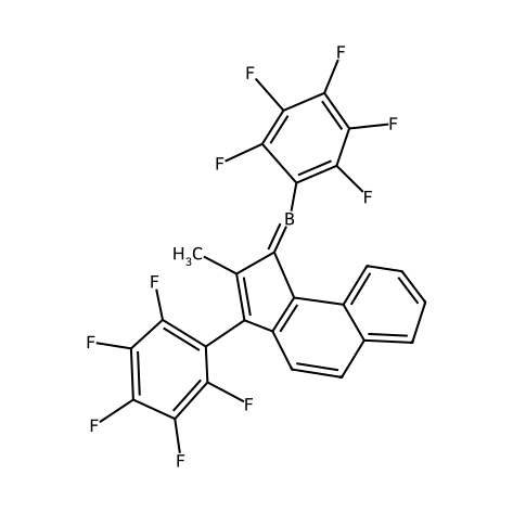 CC1=C(c2c(F)c(F)c(F)c(F)c2F)c2ccc3ccccc3c2C1=Bc1c(F)c(F)c(F)c(F)c1F